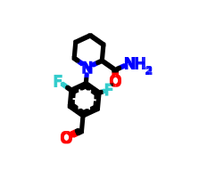 NC(=O)C1CCCCN1c1c(F)cc(C=O)cc1F